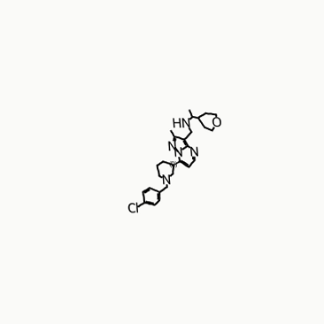 Cc1nn2c([C@@H]3CCCN(Cc4ccc(Cl)cc4)C3)ccnc2c1CNC(C)C1CCOCC1